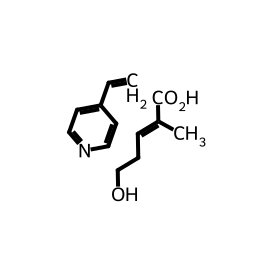 C/C(=C\CCO)C(=O)O.C=Cc1ccncc1